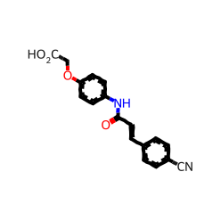 N#Cc1ccc(C=CC(=O)Nc2ccc(OCC(=O)O)cc2)cc1